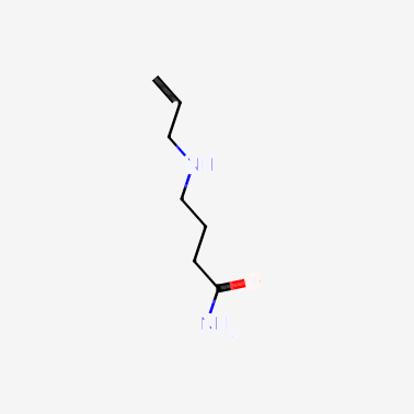 C=CCNCCCC(N)=O